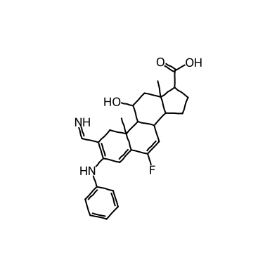 CC12CC(C=N)=C(Nc3ccccc3)C=C1C(F)=CC1C2C(O)CC2(C)C(C(=O)O)CCC12